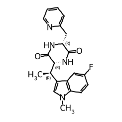 C[C@H](c1cn(C)c2ccc(F)cc12)[C@H]1NC(=O)[C@@H](Cc2ccccn2)NC1=O